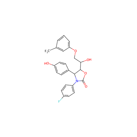 O=C1OC(C(O)COc2cccc(C(F)(F)F)c2)C(c2ccc(O)cc2)N1c1ccc(F)cc1